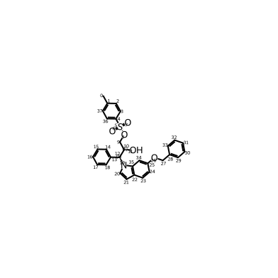 Cc1ccc(S(=O)(=O)OC[C@@H](O)[C@H](c2ccccc2)n2ccc3ccc(OCc4ccccc4)cc32)cc1